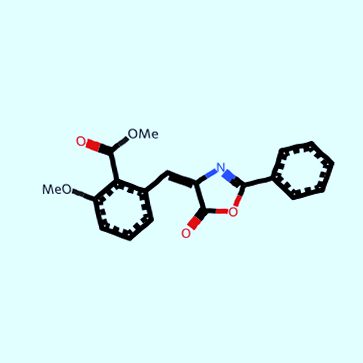 COC(=O)c1c(C=C2N=C(c3ccccc3)OC2=O)cccc1OC